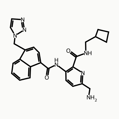 NCc1ccc(NC(=O)c2ccc(Cn3ccnn3)c3ccccc23)c(C(=O)NCC2CCC2)n1